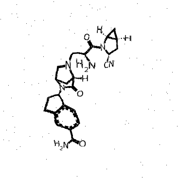 N#C[C@@H]1C[C@@H]2C[C@@H]2N1C(=O)[C@@H](N)CN1CC2C[C@H]1C(=O)N2[C@@H]1CCc2cc(C(N)=O)ccc21